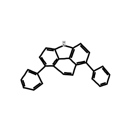 c1ccc(-c2ccc3[nH]c4ccc(-c5ccccc5)c5ccc2c3c45)cc1